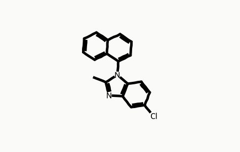 Cc1nc2cc(Cl)ccc2n1-c1cccc2ccccc12